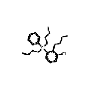 CCCCc1c(Cl)cccc1[Si](CCCC)(CCCC)c1ccccc1